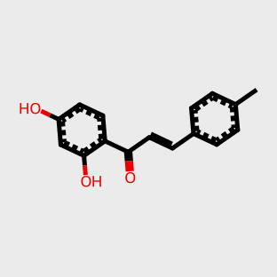 Cc1ccc(C=CC(=O)c2ccc(O)cc2O)cc1